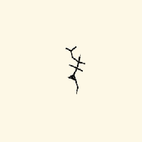 CC(C)CC(C)(I)C(C)(C)C1=C=C1CI